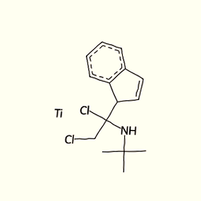 CC(C)(C)NC(Cl)(CCl)C1C=Cc2ccccc21.[Ti]